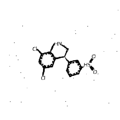 O=[SH](=O)c1cccc([C@@H]2CNCc3c(Cl)cc(Cl)cc32)c1